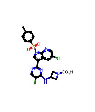 Cc1ccc(S(=O)(=O)n2cc(-c3ncc(F)c(NC4CN(C(=O)O)C4)n3)c3cc(Cl)cnc32)cc1